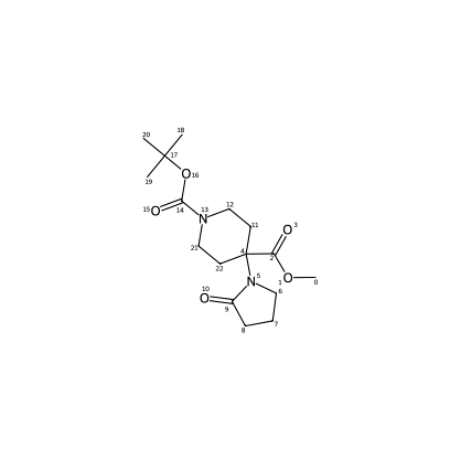 COC(=O)C1(N2CCCC2=O)CCN(C(=O)OC(C)(C)C)CC1